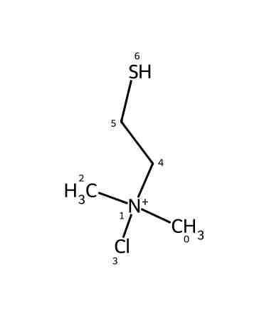 C[N+](C)(Cl)CCS